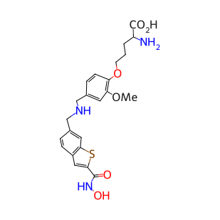 COc1cc(CNCc2ccc3cc(C(=O)NO)sc3c2)ccc1OCCCC(N)C(=O)O